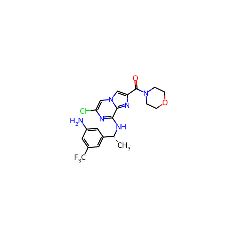 C[C@@H](Nc1nc(Cl)cn2cc(C(=O)N3CCOCC3)nc12)c1cc(N)cc(C(F)(F)F)c1